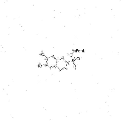 CCCCCOS(=O)(=O)c1ccc2cc(O)c(O)cc2c1